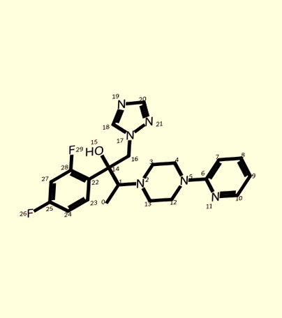 CC(N1CCN(c2ccccn2)CC1)C(O)(Cn1cncn1)c1ccc(F)cc1F